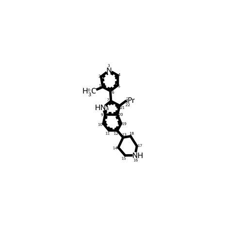 Cc1cnccc1-c1[nH]c2ccc(C3CCNCC3)cc2c1C(C)C